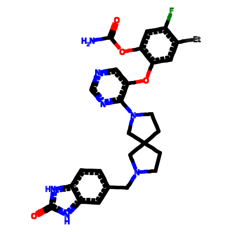 CCc1cc(Oc2cncnc2N2CCC3(CCN(Cc4ccc5[nH]c(=O)[nH]c5c4)C3)C2)c(OC(N)=O)cc1F